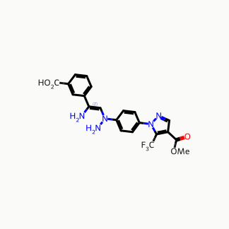 COC(=O)c1cnn(-c2ccc(N(N)/C=C(\N)c3cccc(C(=O)O)c3)cc2)c1C(F)(F)F